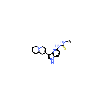 CC(C)NC(=S)Nc1ccc2[nH]cc(C3=CCN4CCCCC4C3)c2n1